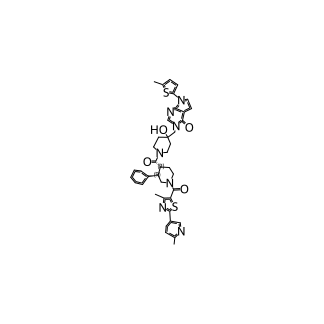 Cc1ccc(-c2nc(C)c(C(=O)N3CC[C@@H](C(=O)N4CCC(O)(Cn5cnc6c(ccn6-c6ccc(C)s6)c5=O)CC4)[C@H](c4ccccc4)C3)s2)cn1